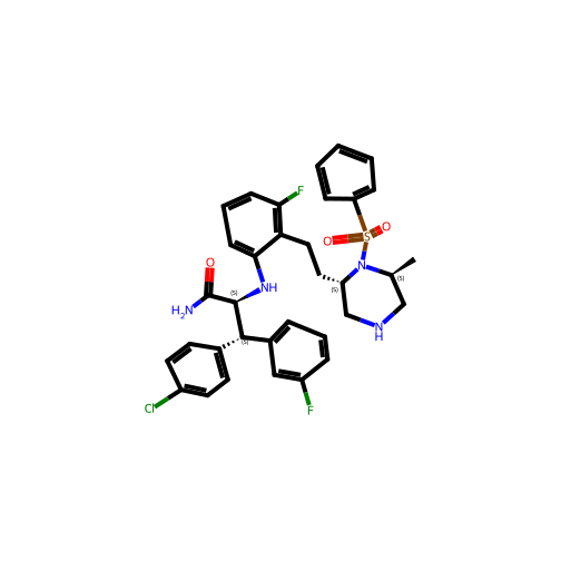 C[C@H]1CNC[C@H](CCc2c(F)cccc2N[C@H](C(N)=O)[C@@H](c2ccc(Cl)cc2)c2cccc(F)c2)N1S(=O)(=O)c1ccccc1